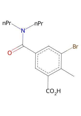 CCCN(CCC)C(=O)c1cc(Br)c(C)c(C(=O)O)c1